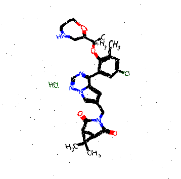 Cc1cc(Cl)cc(-c2ncnn3cc(CN4C(=O)C5C(C4=O)C5(C)C)cc23)c1O[C@H](C)C1CNCCO1.Cl